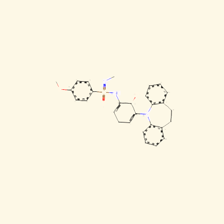 CN=S(=O)(NC1=CCC=C(N2c3ccccc3CCc3ccccc32)[C@@H]1O)c1ccc(OC(F)(F)F)cc1